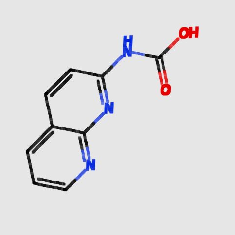 O=C(O)Nc1ccc2cccnc2n1